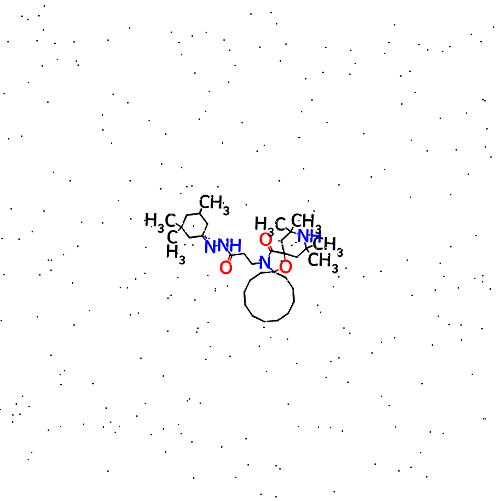 CC1CC(=NNC(=O)CCN2C(=O)C3(CC(C)(C)NC(C)(C)C3)OC23CCCCCCCCCCC3)CC(C)(C)C1